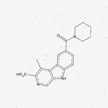 Cc1c(C(=O)O)ncc2[nH]c3ccc(C(=O)N4CCCCC4)cc3c12